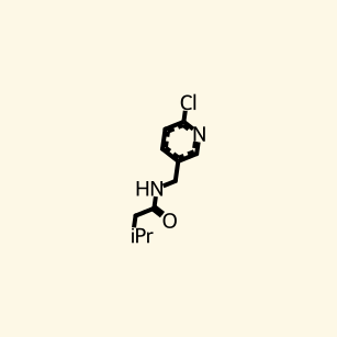 CC(C)CC(=O)NCc1ccc(Cl)nc1